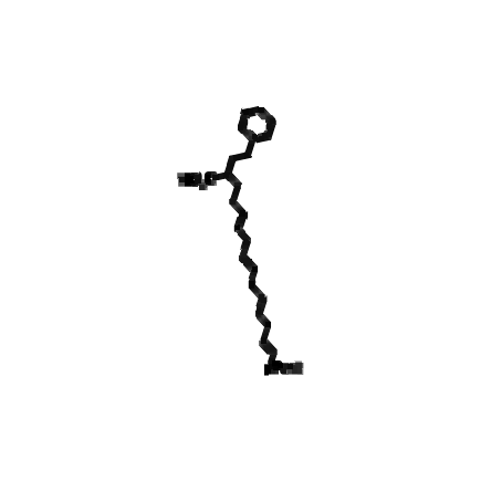 CCCCCC=CCC=CCC=CCC=CCCC(CCc1ccccc1)C(=O)O